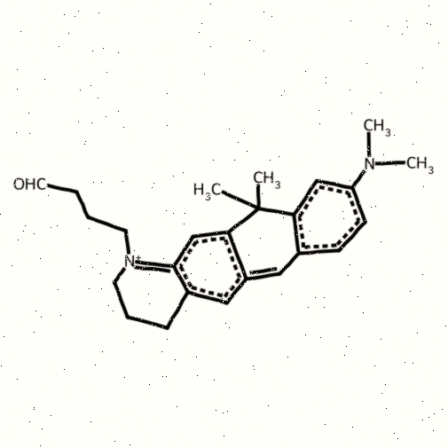 CN(C)c1ccc2c(c1)C(C)(C)c1cc3c(cc1=C2)CCC[N+]=3CCCC=O